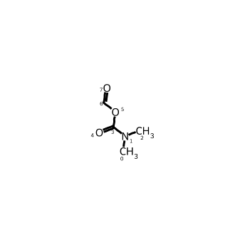 CN(C)C(=O)OC=O